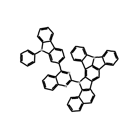 c1ccc(-n2c3ccccc3c3ccc(-c4nc(-n5c6c7ccccc7ccc6c6cc7c8ccccc8n8c9ccccc9c(c65)c78)nc5ccccc45)cc32)cc1